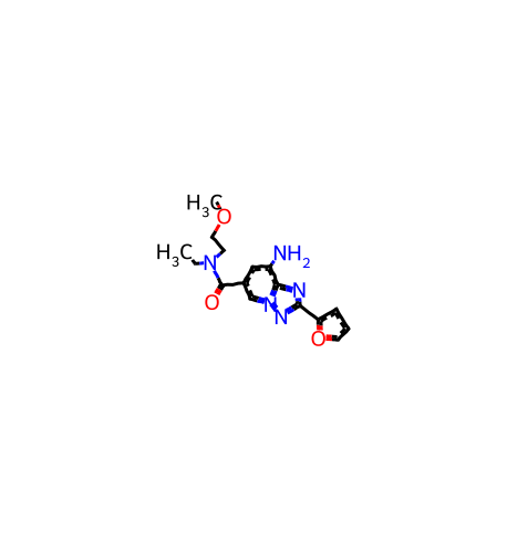 CCN(CCOC)C(=O)c1cc(N)c2nc(-c3ccco3)nn2c1